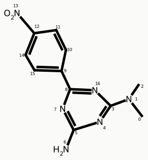 CN(C)c1nc(N)nc(-c2ccc([N+](=O)[O-])cc2)n1